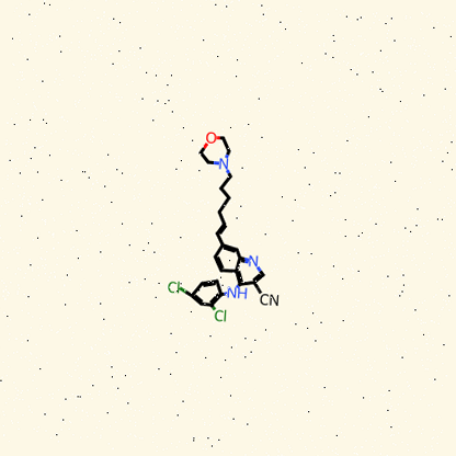 N#Cc1cnc2cc(C=CCCCCN3CCOCC3)ccc2c1Nc1ccc(Cl)cc1Cl